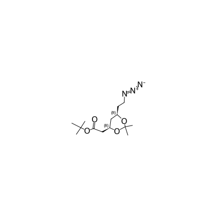 CC(C)(C)OC(=O)C[C@H]1C[C@@H](CCN=[N+]=[N-])OC(C)(C)O1